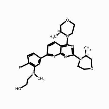 C[C@H]1COCCN1c1nc(N2CCOC[C@@H]2C)c2ccc(-c3ccc(F)c(N(C)CCO)c3)nc2n1